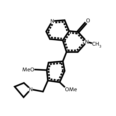 COc1cc(-c2cn(C)c(=O)c3cnccc23)cc(OC)c1CN1CCC1